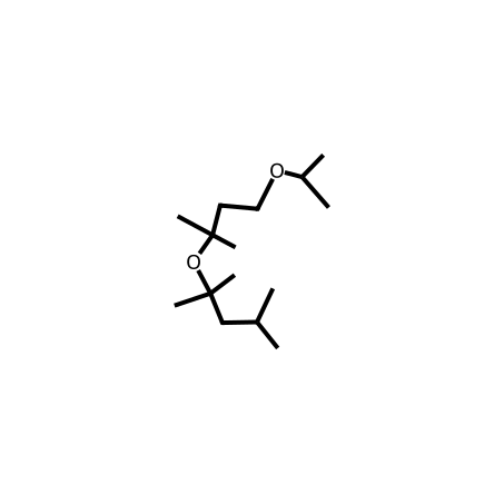 CC(C)CC(C)(C)OC(C)(C)CCOC(C)C